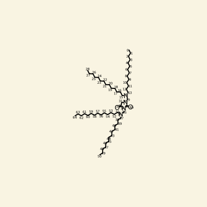 CCCCCCCCCCCCCCN(CCCCCCCCCCCCCC)CN1CC(=O)N(CN(CCCCCCCCCCCCCC)CCCCCCCCCCCCCC)C1=O